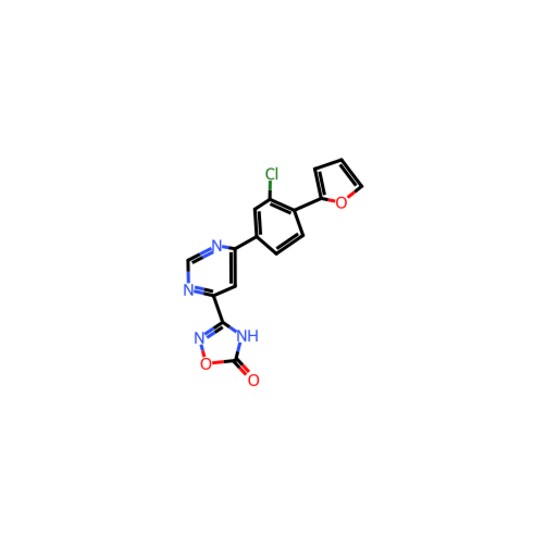 O=c1[nH]c(-c2cc(-c3ccc(-c4ccco4)c(Cl)c3)ncn2)no1